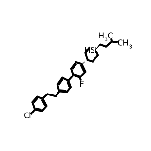 CC(C)CC[Si@H]1CC[C@H](c2ccc(-c3ccc(CCc4ccc(Cl)cc4)cc3)c(F)c2)CC1